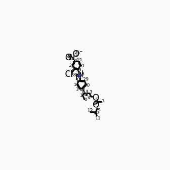 CCN(CCOC(C)OCC(C)C)c1ccc(/N=N/c2ccc([N+](=O)[O-])cc2Cl)cc1